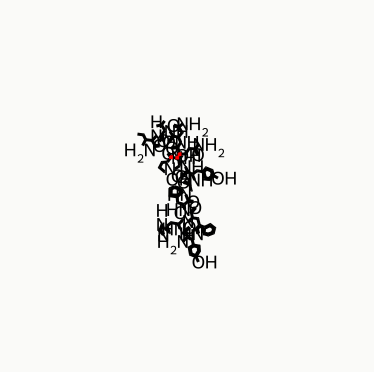 CCC(C)C(NC(=O)C(NC(=O)C(CC(N)=O)NC(=O)C(CCC(N)=O)NC(=O)C1CCCN1C(=O)C(NC(=O)C(Cc1ccc(O)cc1)NC(=O)CNC(=O)C(Cc1ccc(O)cc1)NC(=O)C(Cc1c[nH]c2ccccc12)NC(=O)C(Cc1cnc[nH]1)NC(=O)C(N)Cc1ccc(O)cc1)C(C)O)C(C)C)C(N)=O